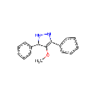 COC1=C(c2ccccc2)NNC1c1ccccc1